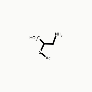 CC(=O)SC(CN)C(=O)O